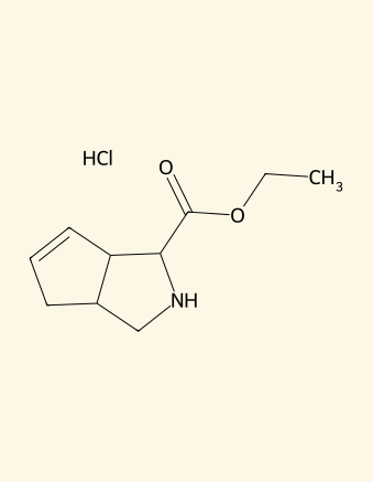 CCOC(=O)C1NCC2CC=CC21.Cl